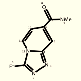 CCc1nnc2cc(C(=O)NC)ccn12